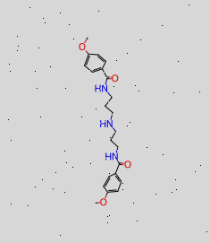 COc1ccc(C(=O)NCCCNCCCNC(=O)c2ccc(OC)cc2)cc1